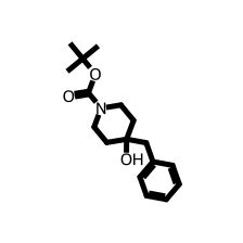 CC(C)(C)OC(=O)N1CCC(O)(Cc2ccccc2)CC1